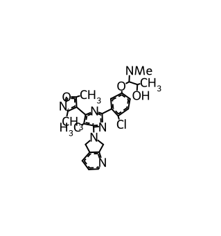 CNC(Oc1ccc(Cl)c(-c2nc(-c3c(C)noc3C)c(C)c(N3Cc4cccnc4C3)n2)c1)C(C)O